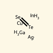 [Ag].[Cu].[GaH3].[InH3].[Se]=[Te]